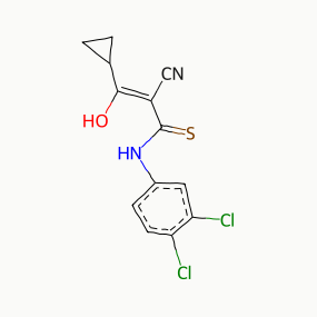 N#CC(C(=S)Nc1ccc(Cl)c(Cl)c1)=C(O)C1CC1